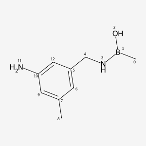 CB(O)NCc1cc(C)cc(N)c1